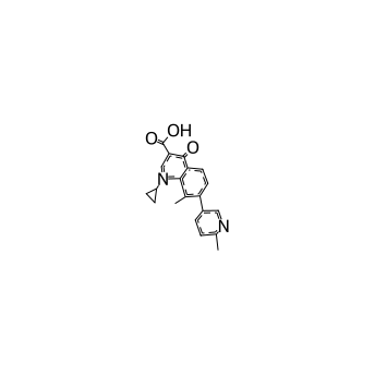 Cc1ccc(-c2ccc3c(=O)c(C(=O)O)cn(C4CC4)c3c2C)cn1